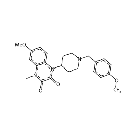 COc1ccc2c(c1)n(C)c(=O)c(=O)n2C1CCN(Cc2ccc(OC(F)(F)F)cc2)CC1